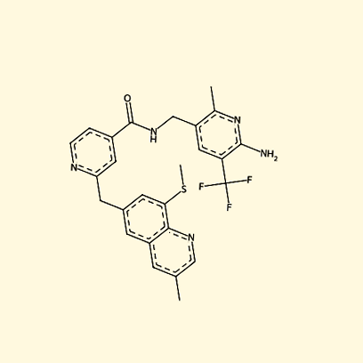 CSc1cc(Cc2cc(C(=O)NCc3cc(C(F)(F)F)c(N)nc3C)ccn2)cc2cc(C)cnc12